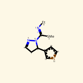 CC/N=C(\SC)N1N=CCC1c1ccsc1